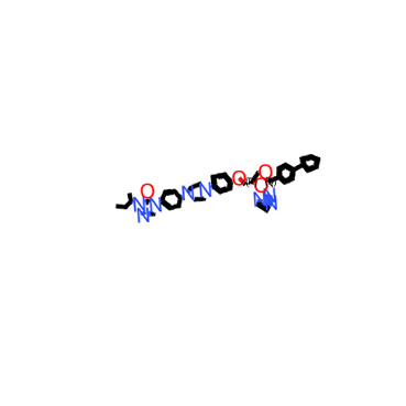 CCC(C)n1ncn(C2=CCC(N3CCN(c4ccc(OC[C@@H]5CO[C@@](Cn6nccn6)(c6ccc(-c7ccccc7)cc6)O5)cc4)CC3)C=C2)c1=O